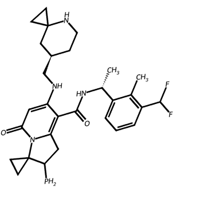 Cc1c(C(F)F)cccc1[C@@H](C)NC(=O)c1c(NC[C@@H]2CCNC3(CC3)C2)cc(=O)n2c1CC(P)C21CC1